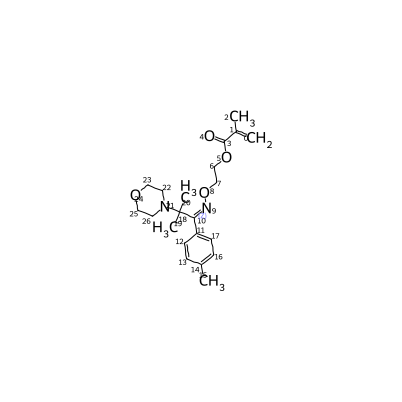 C=C(C)C(=O)OCCO/N=C(/c1ccc(C)cc1)C(C)(C)N1CCOCC1